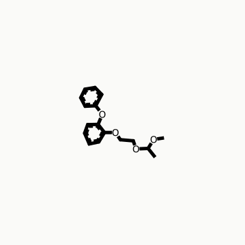 COC(C)OCCOc1ccccc1Oc1ccccc1